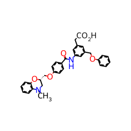 CN1C[C@@H](COc2ccc(C(=O)Nc3cc(COc4ccccc4)cc(CC(=O)O)c3)cc2)Oc2ccccc21